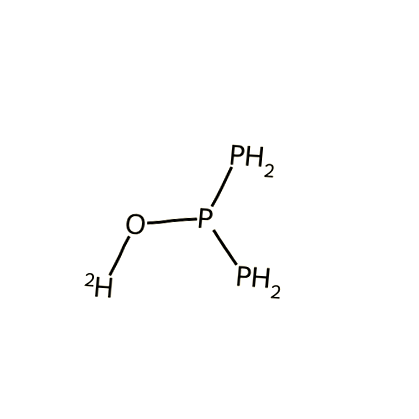 [2H]OP(P)P